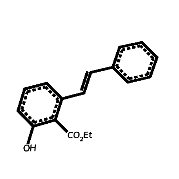 CCOC(=O)c1c(O)cccc1C=Cc1ccccc1